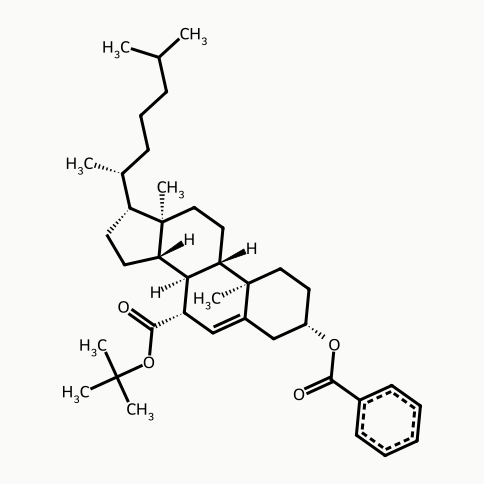 CC(C)CCC[C@@H](C)[C@H]1CC[C@H]2[C@@H]3[C@@H](C(=O)OC(C)(C)C)C=C4C[C@@H](OC(=O)c5ccccc5)CC[C@]4(C)[C@H]3CC[C@]12C